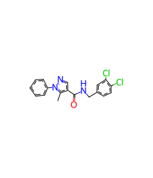 Cc1c(C(=O)NCc2ccc(Cl)c(Cl)c2)cnn1-c1ccccc1